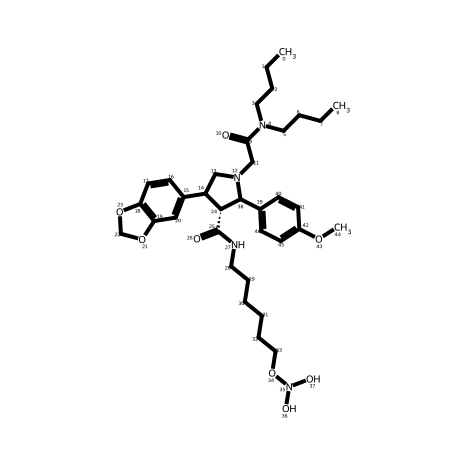 CCCCN(CCCC)C(=O)CN1CC(c2ccc3c(c2)OCO3)[C@@H](C(=O)NCCCCCCON(O)O)C1c1ccc(OC)cc1